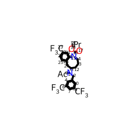 CC(=O)N(Cc1cc(C(F)(F)F)cc(C(F)(F)F)c1)C1CCCN(C(=O)OC(C)C)c2cc(C(F)(F)F)ccc2C1